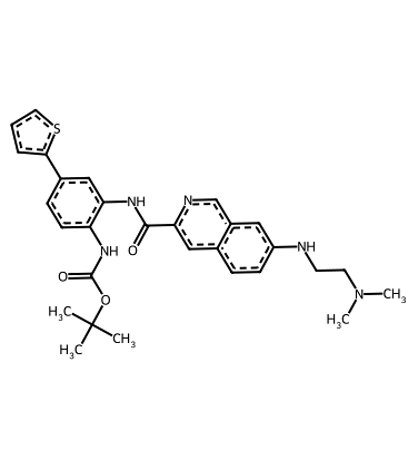 CN(C)CCNc1ccc2cc(C(=O)Nc3cc(-c4cccs4)ccc3NC(=O)OC(C)(C)C)ncc2c1